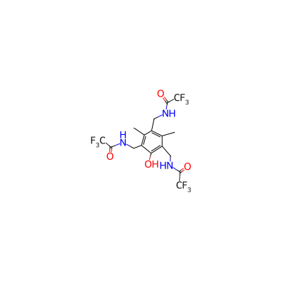 Cc1c(CNC(=O)C(F)(F)F)c(C)c(CNC(=O)C(F)(F)F)c(O)c1CNC(=O)C(F)(F)F